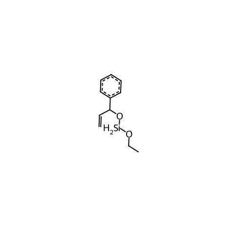 C=CC(O[SiH2]OCC)c1ccccc1